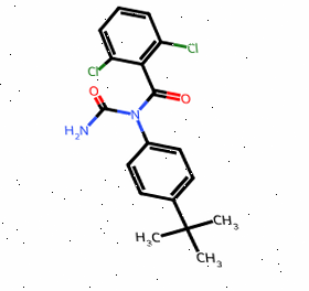 CC(C)(C)c1ccc(N(C(N)=O)C(=O)c2c(Cl)cccc2Cl)cc1